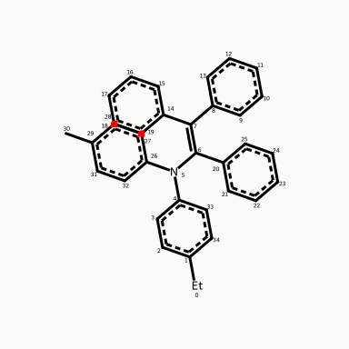 CCc1ccc(N(C(=C(c2ccccc2)c2ccccc2)c2ccccc2)c2ccc(C)cc2)cc1